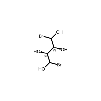 OC(Br)[C@@H](O)[C@H](O)C(O)Br